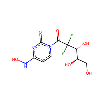 O=C(n1ccc(NO)nc1=O)C(F)(F)[C@H](O)[C@H](O)CO